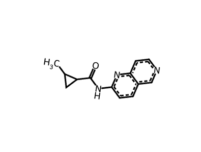 CC1CC1C(=O)Nc1ccc2cnccc2n1